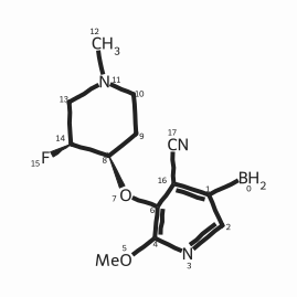 Bc1cnc(OC)c(O[C@@H]2CCN(C)C[C@@H]2F)c1C#N